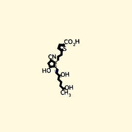 C[C@@H](O)CCC[C@H](O)/C=C/[C@@H]1[C@@H](CCCc2ccc(C(=O)O)s2)[C@H](C#N)C[C@H]1O